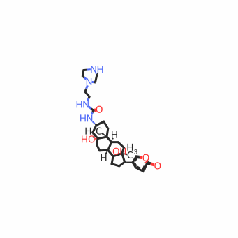 C[C@]12CC[C@H](NC(=O)NCCN3CCNCC3)C[C@@]1(O)CC[C@@H]1[C@@H]2CC[C@]2(C)[C@@H](c3ccc(=O)oc3)CC[C@]12O